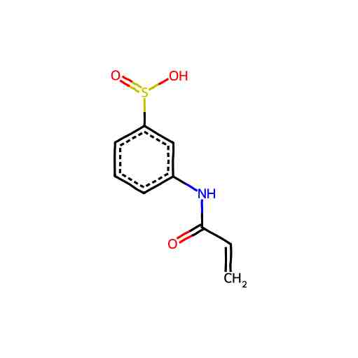 C=CC(=O)Nc1cccc(S(=O)O)c1